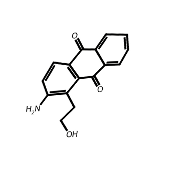 Nc1ccc2c(c1CCO)C(=O)c1ccccc1C2=O